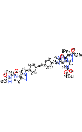 COC(=O)N[C@H](C(=O)N1CCC[C@H]1c1ccc(-c2ccc(C#Cc3ccc(-c4c[nH]c([C@@H]5CN(C(=O)OC(C)(C)C)CCN5C(=O)[C@@H](NC(=O)OC)C(C)C)n4)cc3)cc2)[nH]1)C(C)C